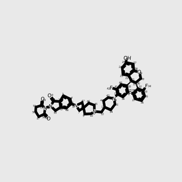 O=C1c2ccc(N3CC4(CCN(CC5CCN(c6ccc([C@H]7c8ccc(O)cc8OC[C@H]7c7c(F)cccc7F)cc6F)CC5)CC4)C3)cc2CN1N1C(=O)CCCC1=O